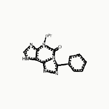 CCCn1c(=O)n2c(-c3ccccc3)nnc2c2[nH]cnc21